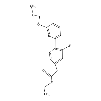 CCOC(=O)Cc1ccc(-c2cccc(OCOC)n2)c(F)c1